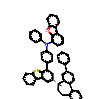 c1ccc(-c2ccc3c(c2)[C@@H](c2cc(-c4ccc(N(c5ccccc5)c5cccc6c5oc5ccccc56)cc4)c4sc5ccccc5c4c2)CCc2ccccc2-3)cc1